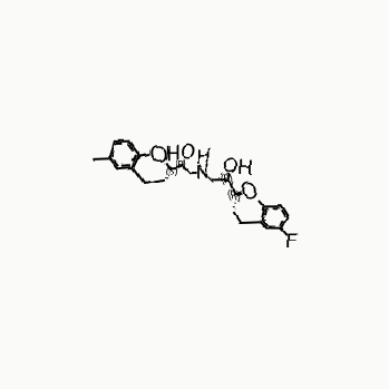 Cc1ccc2c(c1)CC[C@@H]([C@H](O)CNC[C@@H](O)[C@H]1CCc3cc(F)ccc3O1)O2